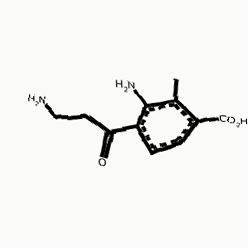 Cc1c(C(=O)O)ccc(C(=O)CCN)c1N